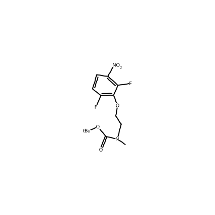 CN(CCOc1c(F)ccc([N+](=O)[O-])c1F)C(=O)OC(C)(C)C